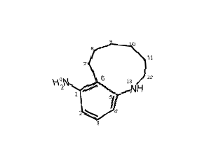 Nc1cccc2c1CCCCCCN2